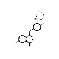 O=c1[nH]nc(Cc2ccc(F)c(P3(=O)CCNCC3)c2)c2ccc(F)cc12